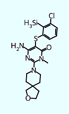 Cn1c(N2CCC3(CCOC3)CC2)nc(N)c(Sc2cccc(Cl)c2[SiH3])c1=O